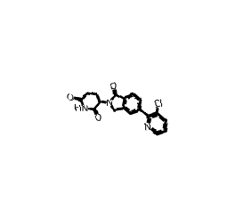 O=C1CCC(N2Cc3cc(-c4ncccc4Cl)ccc3C2=O)C(=O)N1